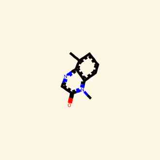 Cc1cccc2c1ncc(=O)n2C